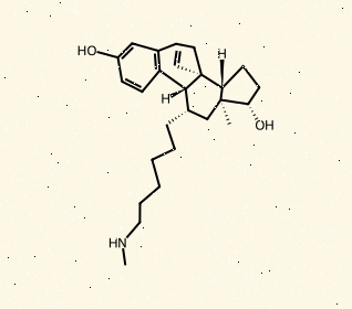 C=C[C@@]12CCc3cc(O)ccc3[C@H]1[C@@H](CCCCCCNC)C[C@@]1(C)[C@H]2CC[C@@H]1O